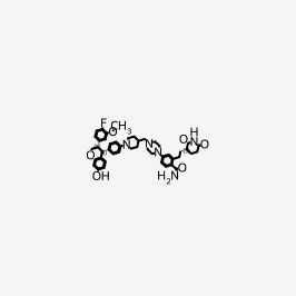 COc1cc([C@H]2COc3cc(O)ccc3[C@H]2c2ccc(N3CCC(CN4CCN(c5ccc(C(N)=O)c(CC[C@H]6CCC(=O)NC6=O)c5)CC4)CC3)cc2)ccc1F